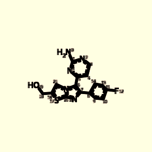 Nc1nccc(-c2c(-c3ccc(F)cc3)nc3sc(CO)cn23)n1